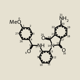 COc1ccc(C(=O)Nc2ccccc2N2C(=O)c3ccc(N)cc3C2=O)cc1